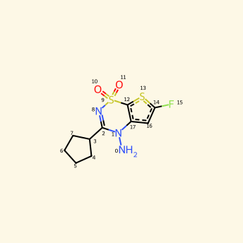 NN1C(C2CCCC2)=NS(=O)(=O)c2sc(F)cc21